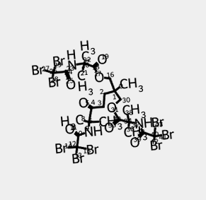 CC(CCC(=O)C(C)(C)NC(=O)C(Br)(Br)Br)(COC(=O)C(C)(C)NC(=O)C(Br)(Br)Br)COC(=O)C(C)(C)NC(=O)C(Br)(Br)Br